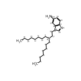 CCCCCCCCN(CCCCCCCC)CCn1cnc2ccc(N)cc21